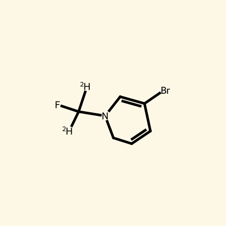 [2H]C([2H])(F)N1C=C(Br)C=CC1